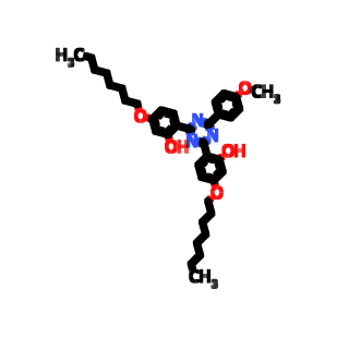 CCCCCCCCOc1ccc(-c2nc(-c3ccc(OC)cc3)nc(-c3ccc(OCCCCCCCC)cc3O)n2)c(O)c1